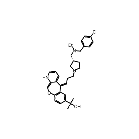 CCN(Cc1ccc(Cl)cc1)C[C@@H]1CCN(CC/C=C2\C3=CC=CNC3=COc3ccc(C(C)(C)O)cc32)C1